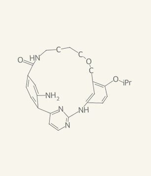 CC(C)Oc1ccc2cc1COCCCCNC(=O)c1ccc(c(N)c1)-c1ccnc(n1)N2